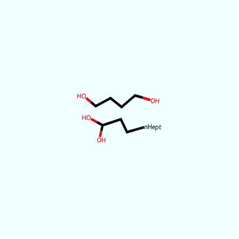 CCCCCCCCCC(O)O.OCCCCO